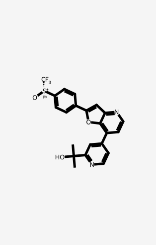 CC(C)(O)c1cc(-c2ccnc3cc(-c4ccc([S@+]([O-])C(F)(F)F)cc4)oc23)ccn1